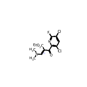 CCOC(=O)/C(=C\N(C)C)C(=O)c1nc(F)c(Cl)cc1Cl